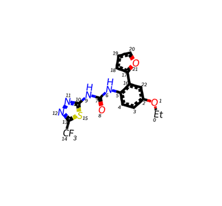 CCOc1ccc(NC(=O)Nc2nnc(C(F)(F)F)s2)c(-c2ccco2)c1